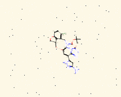 CN(C)c1cc(-c2cc3c(n4cnnc24)N(C(=O)OC(C)(C)C)Cc2c(F)ccc4c2C(CO4)CO3)n(C)n1